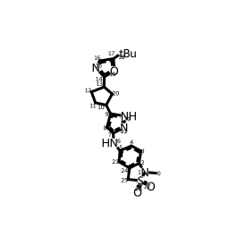 CN1c2ccc(Nc3cc(C4CCC(c5ncc(C(C)(C)C)o5)C4)[nH]n3)cc2CS1(=O)=O